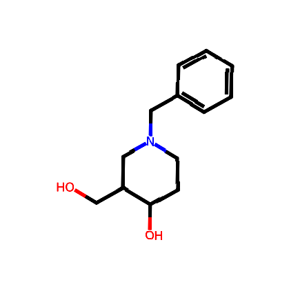 OCC1CN(Cc2ccccc2)CCC1O